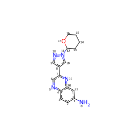 Nc1ccc2ncc(-c3cnn(C4CCCCO4)c3)nc2c1